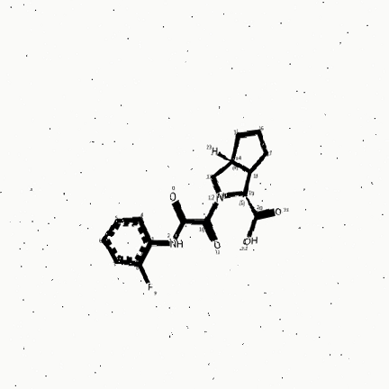 O=C(Nc1ccccc1F)C(=O)N1C[C@@H]2CCCC2[C@H]1C(=O)O